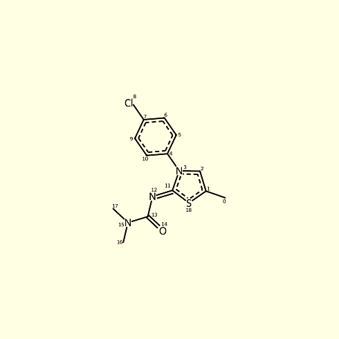 Cc1cn(-c2ccc(Cl)cc2)c(=NC(=O)N(C)C)s1